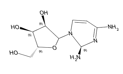 NC1=N[C@@H](N)N(C2O[C@H](CO)[C@@H](O)[C@H]2O)C=C1